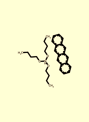 CCCCO[SiH](OCCCC)OCCCC.c1ccc2cc3cc4ccccc4cc3cc2c1